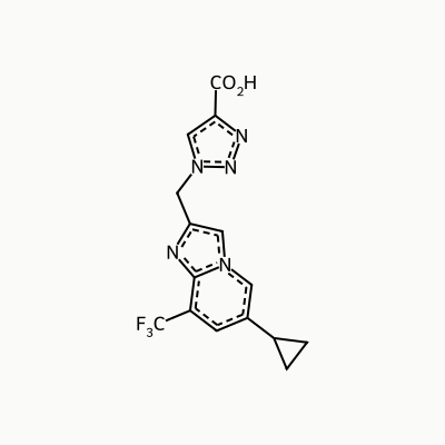 O=C(O)c1cn(Cc2cn3cc(C4CC4)cc(C(F)(F)F)c3n2)nn1